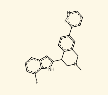 CN1Cc2cc(-c3cccnn3)ccc2C(c2cc3cccc(F)c3[nH]2)C1